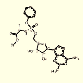 CC(C)OC(=O)[C@H](C)N[P@](=O)(OC[C@H]1O[C@@H](n2cnc3c(N)nc(N)nc32)[C@H](C#N)[C@@H]1O)Oc1ccccc1